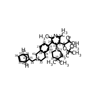 Cc1nc(C)c([C@H](OC(C)(C)C)C(=O)O)c(N2CCC(C)(C)CC2)c1-c1ccc2c(c1)CCN(CC1C[C@@H]3C=C[C@H]1C3)C2